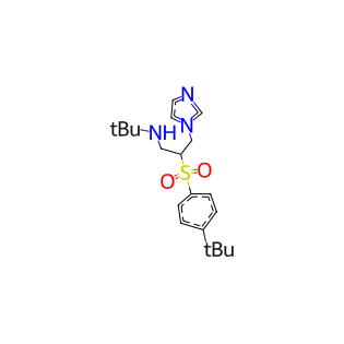 CC(C)(C)NCC(Cn1ccnc1)S(=O)(=O)c1ccc(C(C)(C)C)cc1